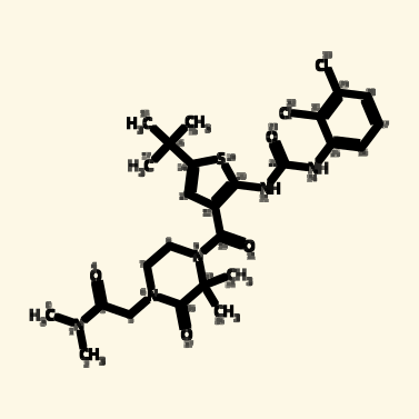 CN(C)C(=O)CN1CCN(C(=O)c2cc(C(C)(C)C)sc2NC(=O)Nc2cccc(Cl)c2Cl)C(C)(C)C1=O